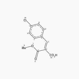 CCC(C)OC(=O)C(=Cc1ccc(Cl)cc1)C(=O)O